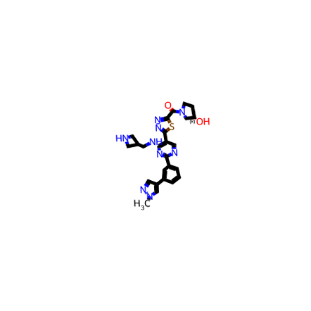 Cn1cc(-c2cccc(-c3ncc(-c4nnc(C(=O)N5CC[C@@H](O)C5)s4)c(NCC4CNC4)n3)c2)cn1